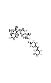 O=C(NCCN1CCC(Cc2ccccc2)CC1)c1ccc2c(c1)CC1(C2)C(=O)Nc2ncccc21